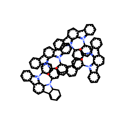 C1=CCC2C(=C1)c1ccc3c4ccccc4n(-c4ccccc4)c3c1N2c1cc(-c2cccc(-c3cc(-n4c5ccccc5c5ccc6c7ccccc7n(-c7ccccc7)c6c54)cc(-n4c5ccccc5c5ccc6c7ccccc7n(-c7ccccc7)c6c54)c3)c2)cc(-n2c3ccccc3c3ccc4c5ccccc5n(-c5ccccc5)c4c32)c1